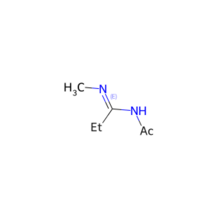 CC/C(=N\C)NC(C)=O